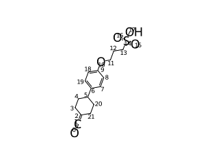 O=C=C1CCC(c2ccc(OCCCS(=O)(=O)O)cc2)CC1